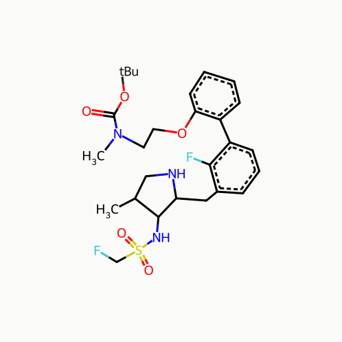 CC1CNC(Cc2cccc(-c3ccccc3OCCN(C)C(=O)OC(C)(C)C)c2F)C1NS(=O)(=O)CF